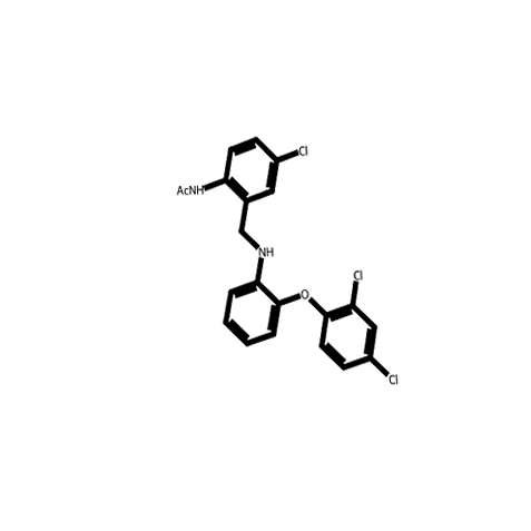 CC(=O)Nc1ccc(Cl)cc1CNc1ccccc1Oc1ccc(Cl)cc1Cl